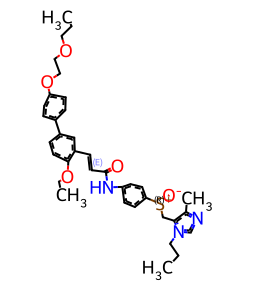 CCCOCCOc1ccc(-c2ccc(OCC)c(/C=C/C(=O)Nc3ccc([S@@+]([O-])Cc4c(C)ncn4CCC)cc3)c2)cc1